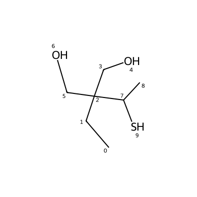 CCC(CO)(CO)C(C)S